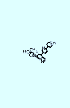 CC(C)(O)COc1cc(-c2ccc(C3=CCNCC3)nc2)c2ccnn2c1